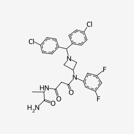 CC(NC(=O)CC(=O)N(c1cc(F)cc(F)c1)C1CN(C(c2ccc(Cl)cc2)c2ccc(Cl)cc2)C1)C(N)=O